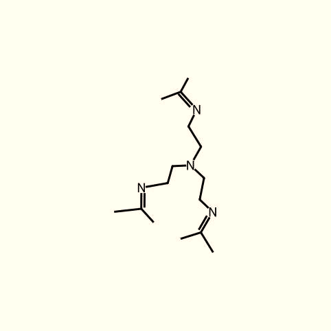 CC(C)=NCCN(CCN=C(C)C)CCN=C(C)C